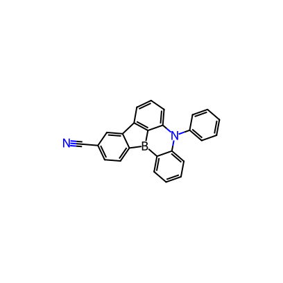 N#Cc1ccc2c(c1)-c1cccc3c1B2c1ccccc1N3c1ccccc1